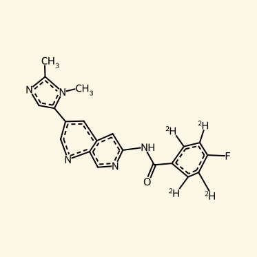 [2H]c1c([2H])c(C(=O)Nc2cc3cc(-c4cnc(C)n4C)cnc3cn2)c([2H])c([2H])c1F